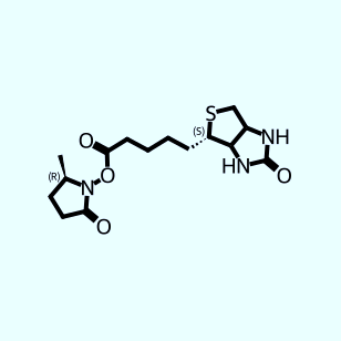 C[C@@H]1CCC(=O)N1OC(=O)CCCC[C@@H]1SCC2NC(=O)NC21